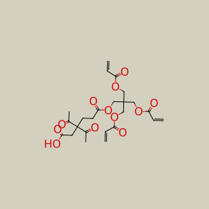 C=CC(=O)OCC(COC(=O)C=C)(COC(=O)C=C)COC(=O)CCC(CC(=O)O)(C(C)=O)C(C)=O